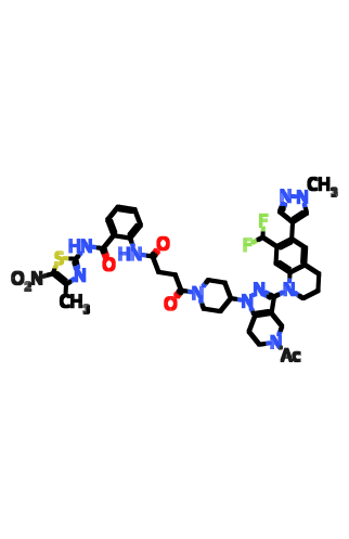 CC(=O)N1CCc2c(c(N3CCCc4cc(-c5cnn(C)c5)c(C(F)F)cc43)nn2C2CCN(C(=O)CCC(=O)Nc3ccccc3C(=O)Nc3nc(C)c([N+](=O)[O-])s3)CC2)C1